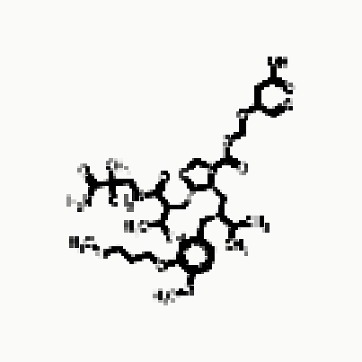 COCCCOc1cc(C[C@@H](C[C@H]2[C@H](C[C@H](C(=O)NCC(C)(C)C(N)=O)C(C)C)OCN2C(=O)OCOC(C=O)CC(=O)O)C(C)C)ccc1OC